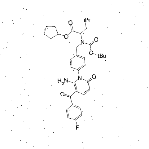 CC(C)CC(C(=O)OC1CCCC1)N(Cc1ccc(-n2c(N)c(C(=O)c3ccc(F)cc3)ccc2=O)cc1)C(=O)OC(C)(C)C